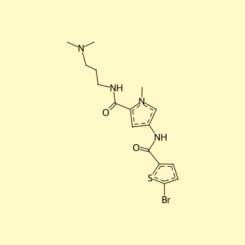 CN(C)CCCNC(=O)c1cc(NC(=O)c2ccc(Br)s2)cn1C